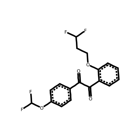 O=C(C(=O)c1ccccc1OCCC(F)F)c1ccc(OC(F)F)cc1